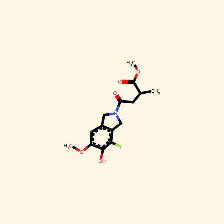 COC(=O)C(C)CC(=O)N1Cc2cc(OC)c(O)c(F)c2C1